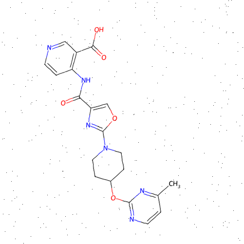 Cc1ccnc(OC2CCN(c3nc(C(=O)Nc4ccncc4C(=O)O)co3)CC2)n1